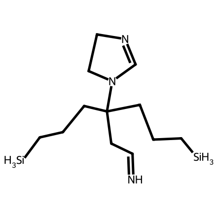 N=CCC(CCC[SiH3])(CCC[SiH3])N1C=NCC1